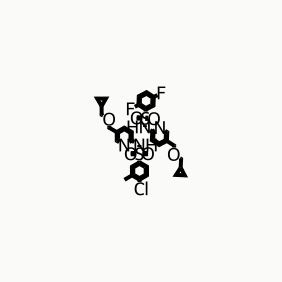 Cc1cc(S(=O)(=O)Nc2ccc(COCC3CC3)cn2)ccc1Cl.O=S(=O)(Nc1ccc(COCC2CC2)cn1)c1cc(F)ccc1F